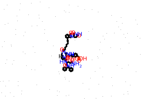 NC(=O)CCC(NC(=O)[C@@H]1CC[C@@H]2CCN(C(=O)CCCCCC#Cc3cccc4c3CN(C3CCC(=O)NC3=O)C4=O)C[C@H](NC(=O)c3cc4cc(CP(=O)(O)O)ccc4[nH]3)C(=O)N21)C(=O)NC(c1ccccc1)c1ccccc1